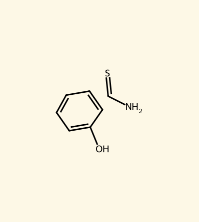 NC=S.Oc1ccccc1